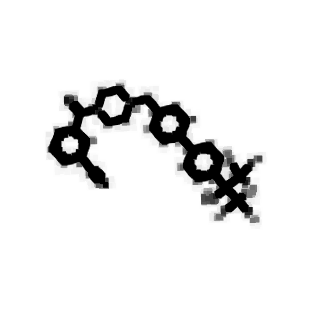 N#Cc1cccc(C(=O)N2CCN(Cc3ccc(-c4ccc(C(O)(C(F)(F)F)C(F)(F)F)cc4)cc3)CC2)c1